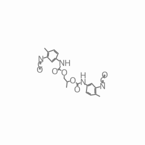 Cc1ccc(NC(=O)OCC(C)OC(=O)Nc2ccc(C)c(N=C=O)c2)cc1N=C=O